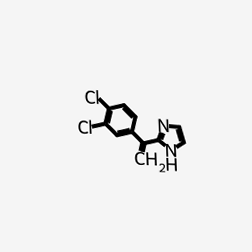 C=C(c1ccc(Cl)c(Cl)c1)c1ncc[nH]1